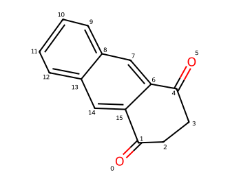 O=C1CCC(=O)c2cc3ccccc3cc21